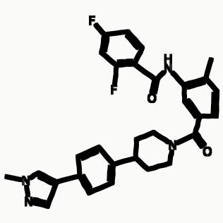 Cc1ccc(C(=O)N2CCC(c3ccc(-c4cnn(C)c4)cc3)CC2)cc1NC(=O)c1ccc(F)cc1F